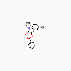 CCN1C(=O)C(OC(=O)c2ccccc2)c2cc(C)ccc21